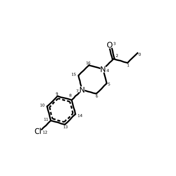 CCC(=O)N1CCN(c2ccc(Cl)cc2)CC1